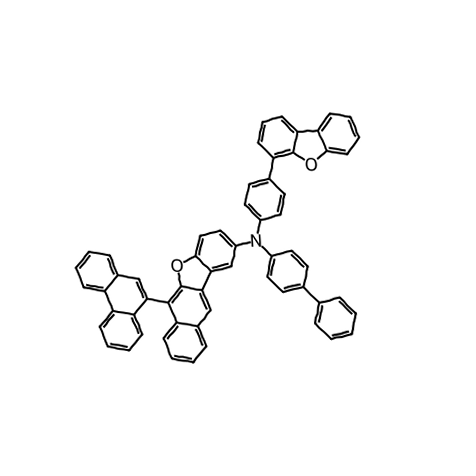 c1ccc(-c2ccc(N(c3ccc(-c4cccc5c4oc4ccccc45)cc3)c3ccc4oc5c(-c6cc7ccccc7c7ccccc67)c6ccccc6cc5c4c3)cc2)cc1